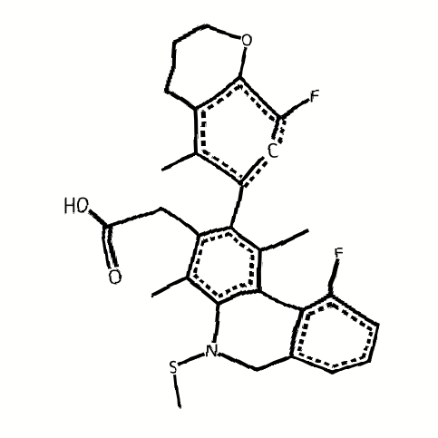 CSN1Cc2cccc(F)c2-c2c(C)c(-c3cc(F)c4c(c3C)CCCO4)c(CC(=O)O)c(C)c21